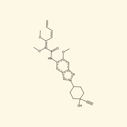 C#CC1(O)CCC(n2cc3cc(NC(=O)/[N+](OC)=C(\C=C/C=C)OC)c(OC)cc3n2)CC1